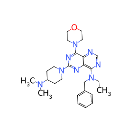 CCN(Cc1ccccc1)c1ncnc2c(N3CCOCC3)nc(N3CCC(N(C)C)CC3)nc12